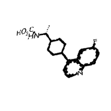 C[C@@H](NC(=O)O)C1CCC(c2ccnc3ccc(F)cc23)CC1